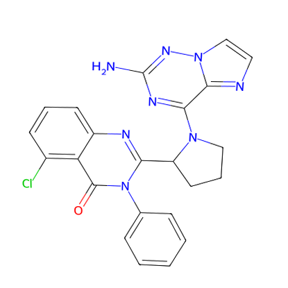 Nc1nc(N2CCCC2c2nc3cccc(Cl)c3c(=O)n2-c2ccccc2)c2nccn2n1